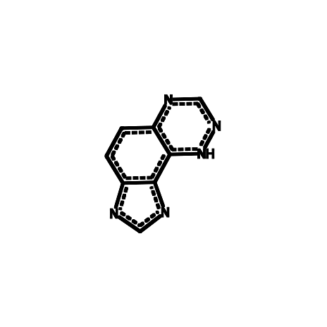 c1n[nH]c2c(ccc3ncnc32)n1